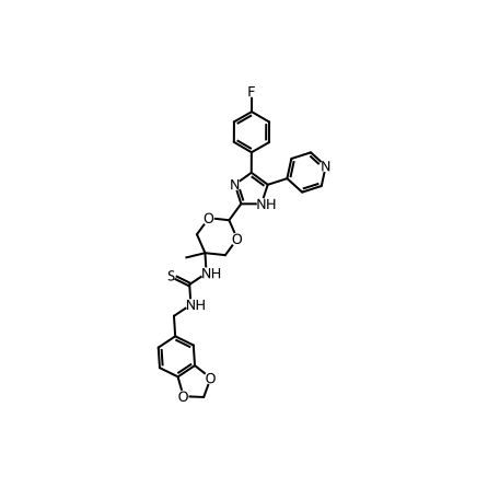 CC1(NC(=S)NCc2ccc3c(c2)OCO3)COC(c2nc(-c3ccc(F)cc3)c(-c3ccncc3)[nH]2)OC1